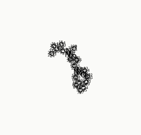 c1ccc(-c2nc(-c3cccc(-c4ccccc4-c4ccc(-c5ccccc5)c5ccccc45)c3)nc(-c3cccc4c3oc3cccc(-c5cccc(-c6nc(-c7cccc(-c8ccc(-c9c(-c%10ccccc%10)ccc%10ccccc9%10)c9ccccc89)c7)nc(-c7cccc8c7oc7ccccc78)n6)c5)c34)n2)cc1